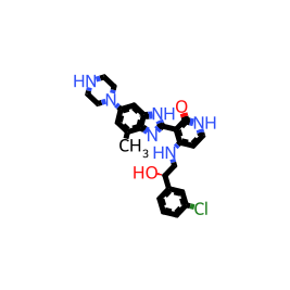 Cc1cc(N2CCNCC2)cc2[nH]c(-c3c(NC[C@@H](O)c4cccc(Cl)c4)cc[nH]c3=O)nc12